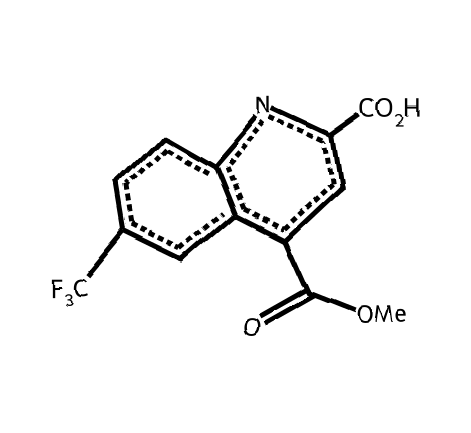 COC(=O)c1cc(C(=O)O)nc2ccc(C(F)(F)F)cc12